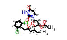 CCC(CC(=O)Cc1c(Cl)cccc1Cl)[C@@H]1O[C@H](n2ccc(=O)[nH]c2=O)CC1OC(C)=O